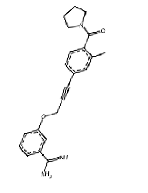 Cc1cc(C#CCOc2cccc(C(=N)N)c2)ccc1C(=O)N1CCCC1